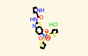 Cl.O=C(Nc1nc2ccc(N(S(=O)(=O)c3cccs3)S(=O)(=O)c3cccs3)cc2s1)c1ccc[nH]1